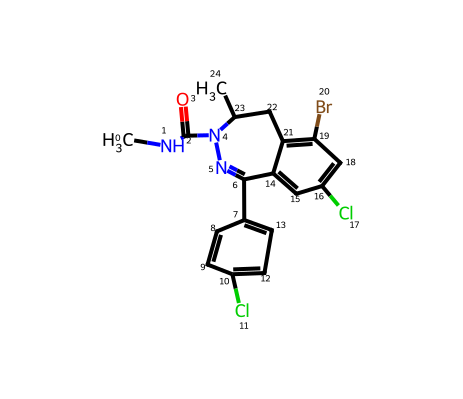 CNC(=O)N1N=C(c2ccc(Cl)cc2)c2cc(Cl)cc(Br)c2CC1C